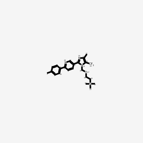 Cc1ccc(-c2ccc(-c3nc(C)c(C(F)(F)F)n3COCC[Si](C)(C)C)cn2)cc1